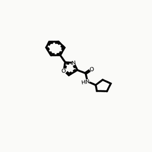 O=C(NC1CCCC1)c1coc(-c2ccccc2)n1